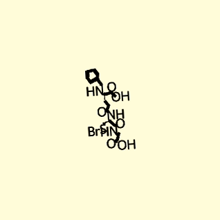 O=C(O)CNC(=O)[C@H](CSBr)NC(=O)CC[C@H](NCc1ccccc1)C(=O)O